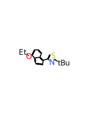 CCOc1cccc2c(-c3csc(C(C)(C)C)n3)cccc12